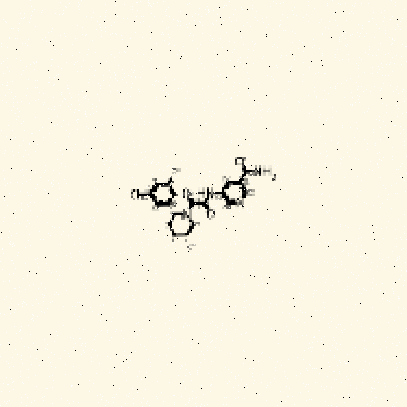 C[C@@H]1CC[C@H](c2cc(F)cc(Cl)c2)N(C(=O)C(=O)Nc2cncc(C(N)=O)c2)C1